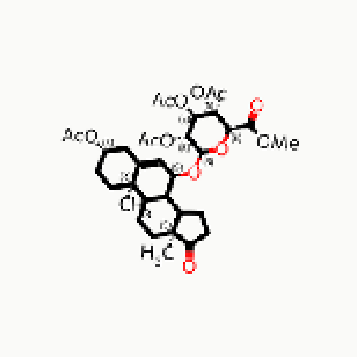 COC(=O)[C@H]1O[C@@H](O[C@@H]2C=C3C[C@@H](OC(C)=O)CC[C@]3(C)C3CC[C@]4(C)C(=O)CCC4C32)[C@H](OC(C)=O)[C@@H](OC(C)=O)[C@@H]1OC(C)=O